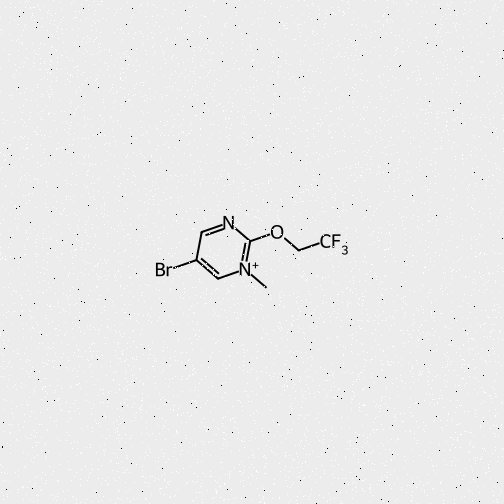 C[n+]1cc(Br)cnc1OCC(F)(F)F